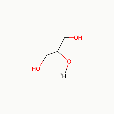 [2H]OC(CO)CO